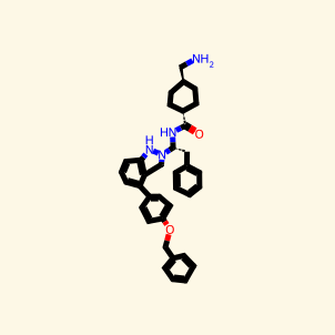 NC[C@H]1CC[C@H](C(=O)N[C@H](Cc2ccccc2)N2Cc3c(cccc3-c3ccc(OCc4ccccc4)cc3)N2)CC1